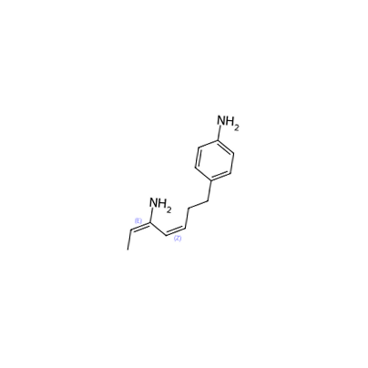 C/C=C(N)\C=C/CCc1ccc(N)cc1